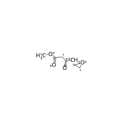 C1CO1.COC(=O)CC(C)=O